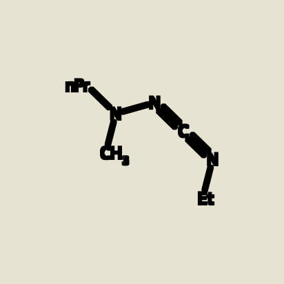 CCCN(C)N=C=NCC